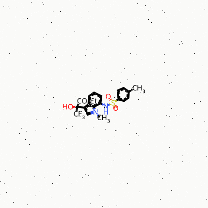 CCOC(=O)C(O)(c1cn(C)c2c(NS(=O)(=O)c3ccc(C)cc3)cccc12)C(F)(F)F